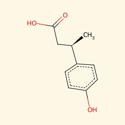 C[C@H](CC(=O)O)c1ccc(O)cc1